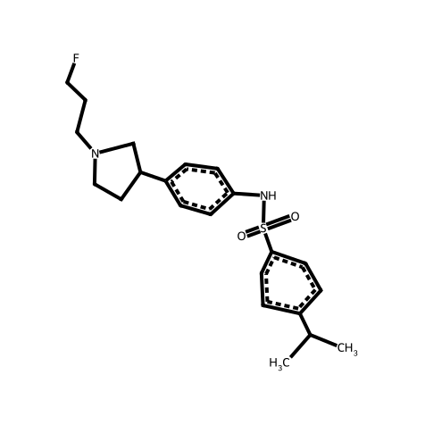 CC(C)c1ccc(S(=O)(=O)Nc2ccc(C3CCN(CCCF)C3)cc2)cc1